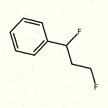 FCCC(F)c1ccccc1